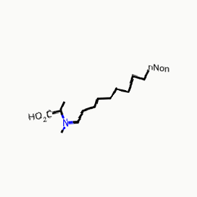 CCCCCCCCCCCCCCCCCCN(C)C(C)C(=O)O